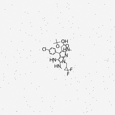 CNc1nc2c(c(NC)c(NC)n2CC2CC2(F)F)c(-c2ccc(Cl)cc2)c1[C@H](OC(C)(C)C)C(=O)O